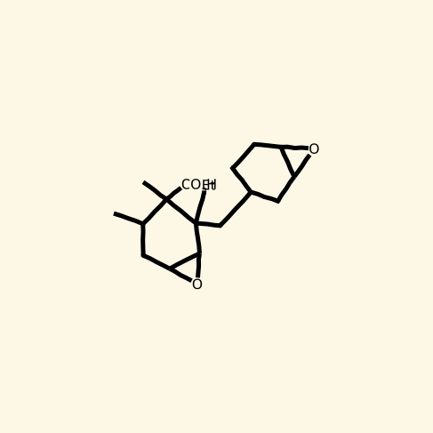 CCC1(CC2CCC3OC3C2)C2OC2CC(C)C1(C)C(=O)O